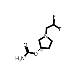 NC(=O)O[C@H]1CCN(CC(F)F)C1